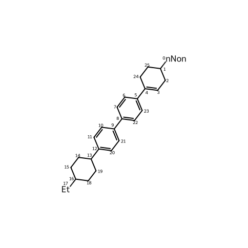 CCCCCCCCCC1CC=C(c2ccc(-c3ccc(C4CCC(CC)CC4)cc3)cc2)CC1